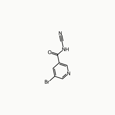 N#CNC(=O)c1cncc(Br)c1